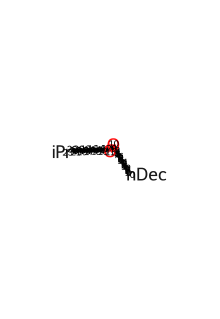 CCCCCCCCCCCCCCCCCCC(=O)OCCCCCCCCCCCC(C)C